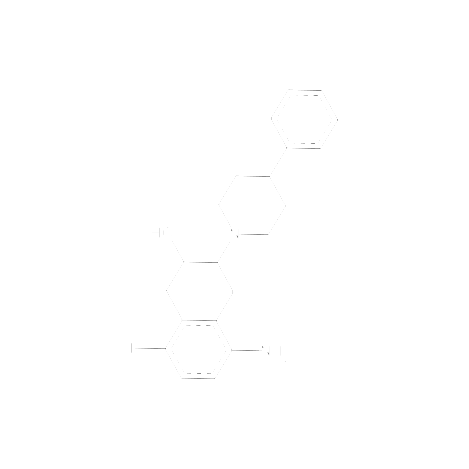 Nc1ccc(I)c2c1CC(N1CCC(c3ccccc3)CC1)C(O)C2